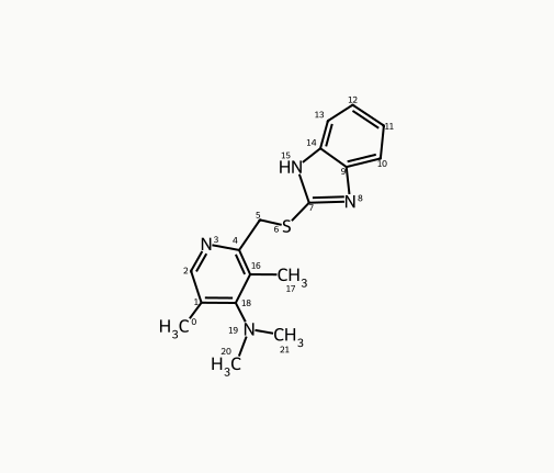 Cc1cnc(CSc2nc3ccccc3[nH]2)c(C)c1N(C)C